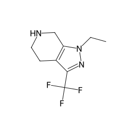 CCn1nc(C(F)(F)F)c2c1CNCC2